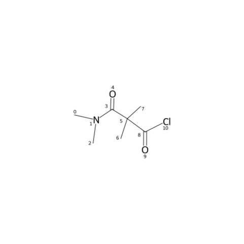 CN(C)C(=O)C(C)(C)C(=O)Cl